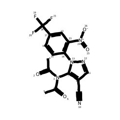 CC(=O)N(C(C)=O)c1c(C#N)cnn1-c1ccc(C(F)(F)F)cc1[N+](=O)[O-]